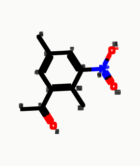 CC(=O)c1cc(C)cc([N+](=O)[O-])c1C